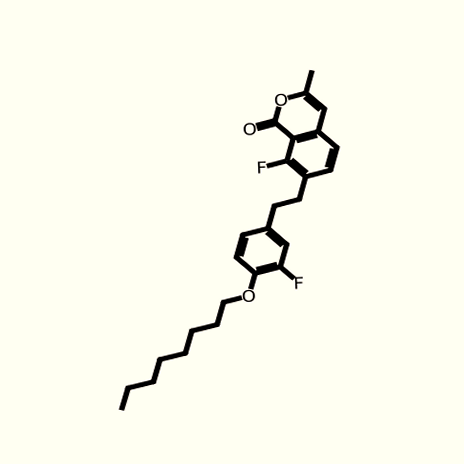 CCCCCCCCOc1ccc(CCc2ccc3cc(C)oc(=O)c3c2F)cc1F